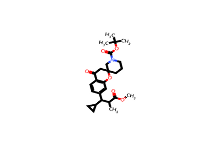 COC(=O)C(C)C(c1ccc2c(c1)OC1(CCCN(C(=O)OC(C)(C)C)C1)CC2=O)C1CC1